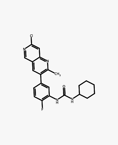 Cc1nc2cc(Cl)ncc2cc1-c1ccc(F)c(NC(=O)NC2CCCCC2)c1